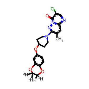 [2H]C1([2H])Oc2ccc(OC3CCN(c4nn5c(=O)c(Cl)cnc5cc4C)CC3)cc2OC1([2H])[2H]